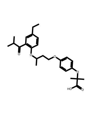 CCc1ccc(OC(C)CCOc2ccc(OC(C)(C)C(=O)O)cc2)c(C(=O)C(C)C)c1